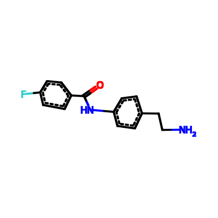 NCCc1ccc(NC(=O)c2ccc(F)cc2)cc1